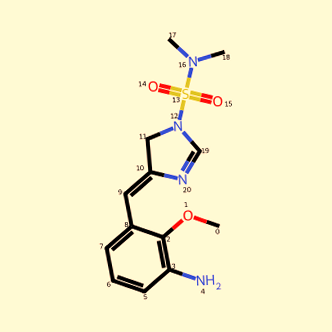 COc1c(N)cccc1C=C1CN(S(=O)(=O)N(C)C)C=N1